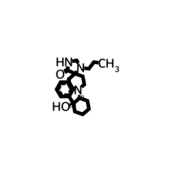 CCCN1CNC(=O)C12CCN([C@@H]1CCCC[C@]1(O)c1ccccc1)CC2